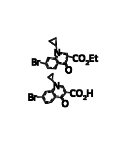 CCOC(=O)c1cn(C2CC2)c2cc(Br)ccc2c1=O.O=C(O)c1cn(C2CC2)c2cc(Br)ccc2c1=O